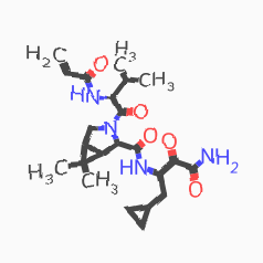 C=CC(=O)N[C@H](C(=O)N1CC2C(C1C(=O)NC(CC1CC1)C(=O)C(N)=O)C2(C)C)C(C)C